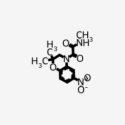 CNC(=O)C(=O)N1CC(C)(C)Oc2ccc([N+](=O)[O-])cc21